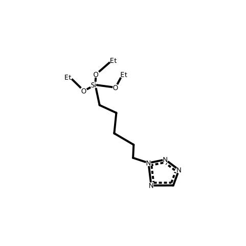 CCO[Si](CCCCCn1ncnn1)(OCC)OCC